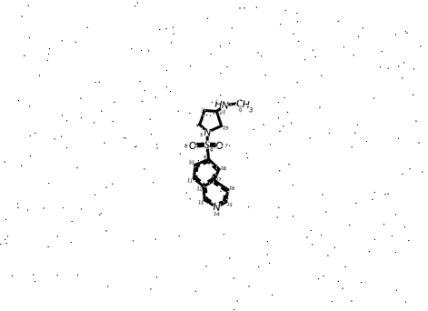 CNC1CCN(S(=O)(=O)c2ccc3cnccc3c2)C1